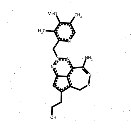 COc1c(C)cnc(Cn2nc3cc(CCO)c4c-3c(n2)C(N)=NSC4)c1C